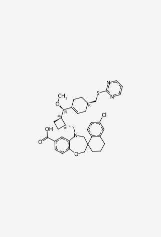 CO[C@@H](C1=CC[C@H](CSc2ncccn2)CC1)[C@@H]1CC[C@H]1CN1CC2(CCCc3cc(Cl)ccc32)COc2ccc(C(=O)O)cc21